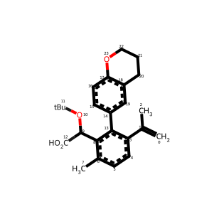 C=C(C)c1ccc(C)c(C(OC(C)(C)C)C(=O)O)c1-c1ccc2c(c1)CCCO2